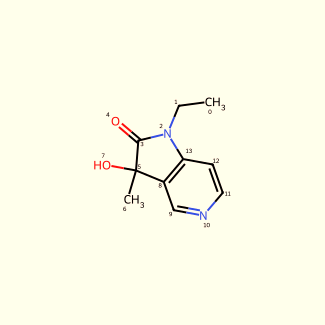 CCN1C(=O)C(C)(O)c2cnccc21